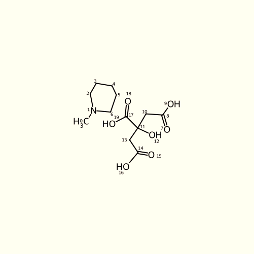 CN1CCCCC1.O=C(O)CC(O)(CC(=O)O)C(=O)O